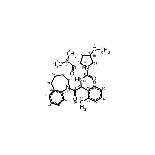 CO[C@@H]1C[C@@H](C(=O)N(C)C)N(C(=O)NC(C(=O)N2CCCCc3ccccc32)c2ccccc2C)C1